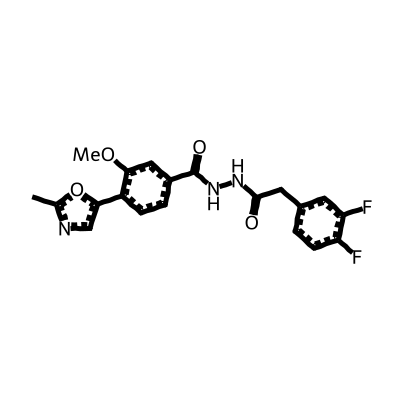 COc1cc(C(=O)NNC(=O)Cc2ccc(F)c(F)c2)ccc1-c1cnc(C)o1